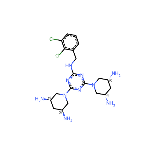 N[C@@H]1C[C@H](N)CN(c2nc(NCc3cccc(Cl)c3Cl)nc(N3C[C@H](N)C[C@H](N)C3)n2)C1